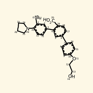 CC(C)(C)c1cc(-c2cc(-c3ccc(OCCO)cc3)ccc2C(=O)O)ccc1N1CCCC1